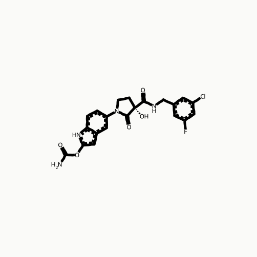 NC(=O)Oc1cc2cc(N3CC[C@@](O)(C(=O)NCc4cc(F)cc(Cl)c4)C3=O)ccc2[nH]1